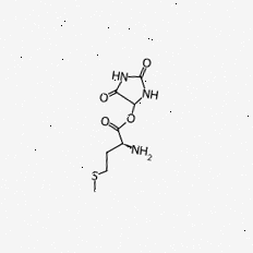 CSCC[C@H](N)C(=O)OC1NC(=O)NC1=O